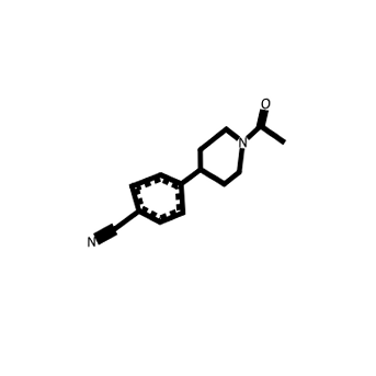 CC(=O)N1CCC(c2ccc(C#N)cc2)CC1